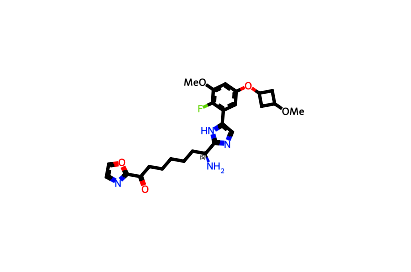 COc1cc(OC2CC(OC)C2)cc(-c2cnc([C@@H](N)CCCCCC(=O)c3ncco3)[nH]2)c1F